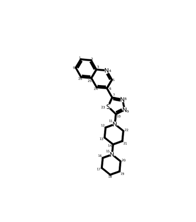 c1ccc2ncc(-c3nnc(N4CCC(N5CCCCC5)CC4)s3)cc2c1